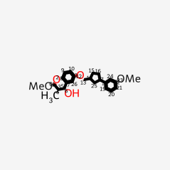 COC(=O)[C@@H](C)[C@@H](O)c1cccc(OCC2CCC(c3cccc(OC)c3)C2)c1